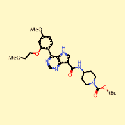 COCCOc1cc(OC)ccc1-c1ncnc2c(C(=O)NC3CCN(C(=O)OC(C)(C)C)CC3)c[nH]c12